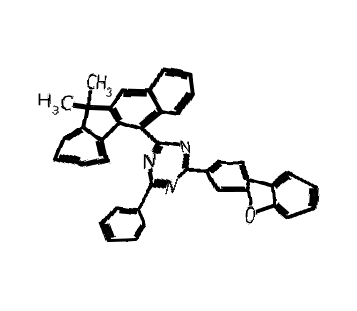 CC1(C)c2ccccc2-c2c1cc1ccccc1c2-c1nc(-c2ccccc2)nc(-c2ccc3c(c2)oc2ccccc23)n1